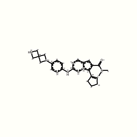 CN(C)C(=O)c1cc2cnc(Nc3ccc(N4CC5(CNC5)C4)cn3)nn2c1C1=CCCC1